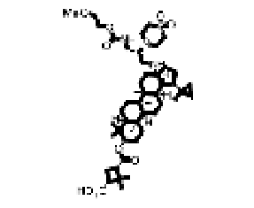 COCCOC(=O)NC[C@@H](CN[C@]12CC[C@@H](C3(C)CC3)[C@@H]1[C@H]1CC[C@@H]3[C@@]4(C)CC[C@H](OC(=O)[C@H]5C[C@@H](C(=O)O)C5(C)C)C(C)(C)[C@@H]4CC[C@@]3(C)[C@]1(C)CC2)N1CCS(=O)(=O)CC1